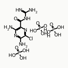 N=C(N)NC(=O)c1nc(Cl)c(N)nc1N.O=P(O)(O)O.O=P(O)(O)O.O=P(O)(O)O